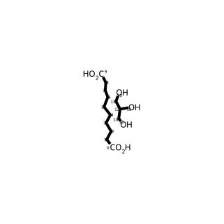 O=C(O)CCCCCCCCC(=O)O.OCC(O)CO